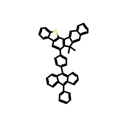 CC1(C)c2cc3ccccc3cc2-c2c1c(-c1ccc(-c3c4ccccc4c(-c4ccccc4)c4ccccc34)cc1)cc1c2sc2ccccc21